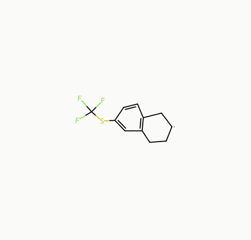 FC(F)(F)Sc1ccc2c(c1)CC[CH]C2